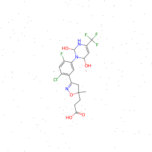 CC1(CCC(=O)O)CC(c2cc(N3C(O)C=C(C(F)(F)F)NC3O)c(F)cc2Cl)=NO1